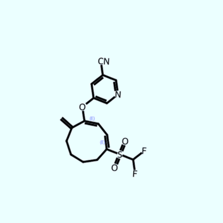 C=C1CCCC/C(S(=O)(=O)C(F)F)=C\C=C/1Oc1cncc(C#N)c1